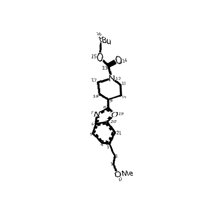 COCCc1ccc2nc(C3CCN(C(=O)OC(C)(C)C)CC3)oc2c1